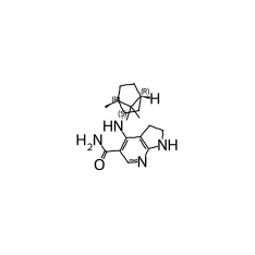 CC1(C)[C@@H]2CC[C@@]1(C)[C@@H](Nc1c(C(N)=O)cnc3c1CCN3)C2